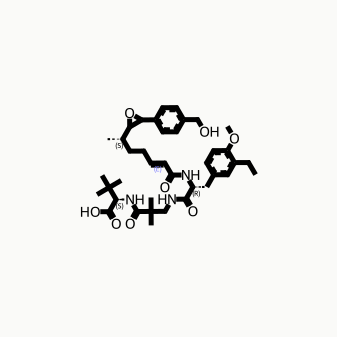 CCc1cc(C[C@@H](NC(=O)/C=C/CC[C@H](C)C2OC2c2ccc(CO)cc2)C(=O)NCC(C)(C)C(=O)N[C@H](C(=O)O)C(C)(C)C)ccc1OC